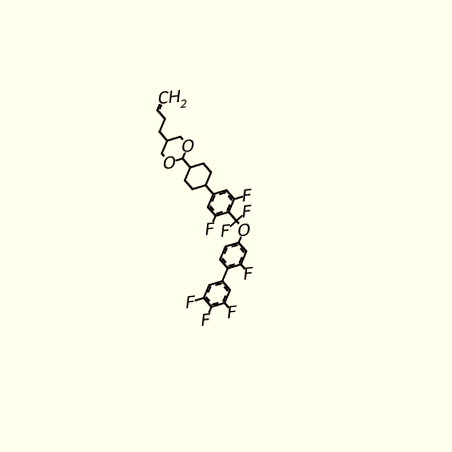 C=CCCC1COC(C2CCC(c3cc(F)c(C(F)(F)Oc4ccc(-c5cc(F)c(F)c(F)c5)c(F)c4)c(F)c3)CC2)OC1